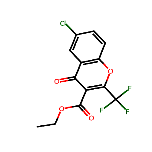 CCOC(=O)c1c(C(F)(F)F)oc2ccc(Cl)cc2c1=O